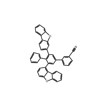 N#Cc1cccc(-c2cc(-c3ccc4c(c3)oc3ccccc34)c(-c3ccccc3)c(-c3cccc4oc5ccccc5c34)c2)c1